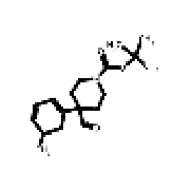 CC1C=CC=C(C2(C=O)CCN(C(=O)OC(C)(C)C)CC2)C1